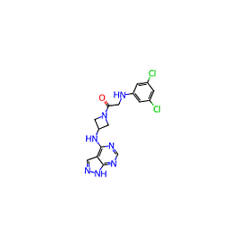 O=C(CNc1cc(Cl)cc(Cl)c1)N1CC(Nc2ncnc3[nH]ncc23)C1